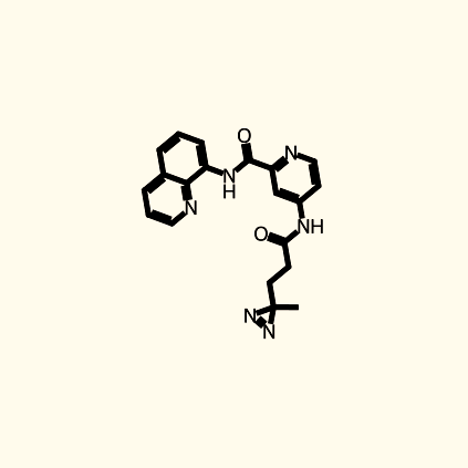 CC1(CCC(=O)Nc2ccnc(C(=O)Nc3cccc4cccnc34)c2)N=N1